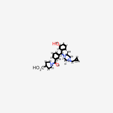 C[C@@H]1CN(C(c2cccc(O)c2)c2cccc(C(=O)N3CCC(C(=O)O)CC3)c2)[C@@H](C)CN1CC1CC1